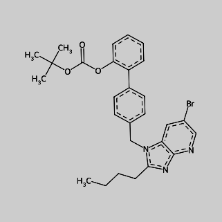 CCCCc1nc2ncc(Br)cc2n1Cc1ccc(-c2ccccc2OC(=O)OC(C)(C)C)cc1